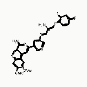 COc1cc2ncc3c(N)nc(-c4cncc(OC[C@@H](N)COc5ccc(F)cc5F)c4)cc3c2cc1OC